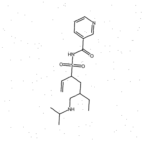 C=CC(CC(CC)CNC(C)C)S(=O)(=O)NC(=O)c1cccnc1